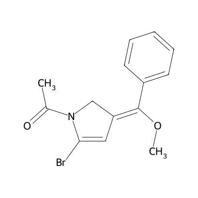 COC(=C1C=C(Br)N(C(C)=O)C1)c1ccccc1